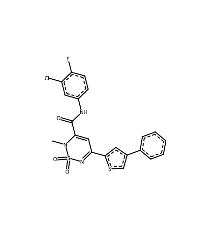 CN1C(C(=O)Nc2ccc(F)c(Cl)c2)=CC(c2cc(-c3ccccc3)cs2)=NS1(=O)=O